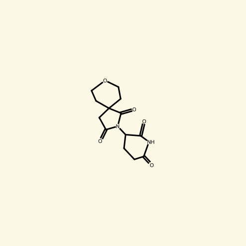 O=C1CCC(N2C(=O)CC3(CCOCC3)C2=O)C(=O)N1